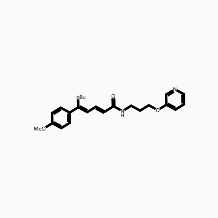 CCCC/C(=C\C=C\C(=O)NCCCOc1cccnc1)c1ccc(OC)cc1